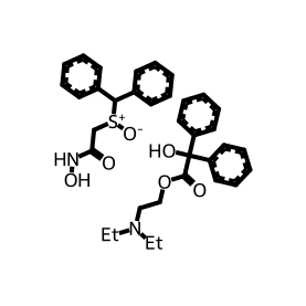 CCN(CC)CCOC(=O)C(O)(c1ccccc1)c1ccccc1.O=C(C[S+]([O-])C(c1ccccc1)c1ccccc1)NO